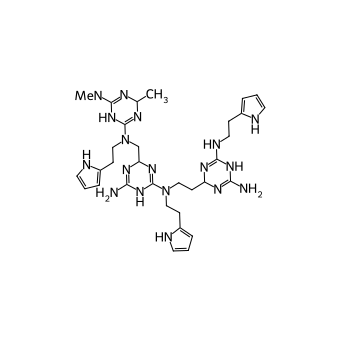 CNC1=NC(C)N=C(N(CCc2ccc[nH]2)CC2N=C(N)NC(N(CCc3ccc[nH]3)CCC3N=C(N)NC(NCCc4ccc[nH]4)=N3)=N2)N1